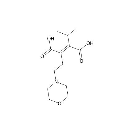 CC(C)C(C(=O)O)=C(CCN1CCOCC1)C(=O)O